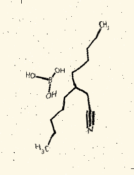 CCCCCC(CC#N)CCCCC.OB(O)O